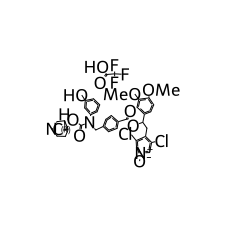 COc1ccc(C(Cc2c(Cl)c[n+]([O-])cc2Cl)OC(=O)c2ccc(CN(C(=O)O[C@H]3CN4CCC3CC4)c3cccc(O)c3)cc2)cc1OC.O=C(O)C(F)(F)F